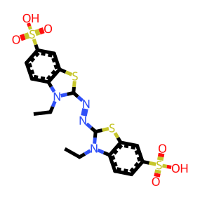 CCN1c2ccc(S(=O)(=O)O)cc2SC1N=NC1Sc2cc(S(=O)(=O)O)ccc2N1CC